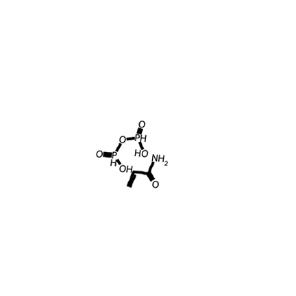 C=CC(N)=O.O=[PH](O)O[PH](=O)O